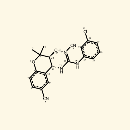 CC1(C)Oc2ccc(C#N)cc2[C@@H](NC(=NC#N)Nc2cccc(Cl)c2)[C@@H]1O